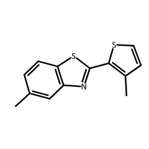 Cc1ccc2sc(-c3sccc3C)nc2c1